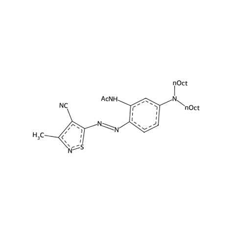 CCCCCCCCN(CCCCCCCC)c1ccc(N=Nc2snc(C)c2C#N)c(NC(C)=O)c1